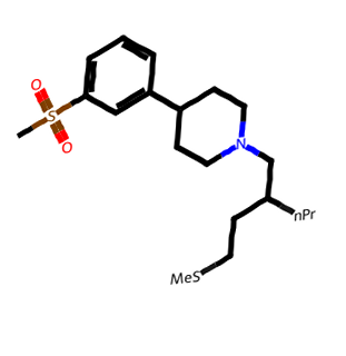 CCCC(CCSC)CN1CCC(c2cccc(S(C)(=O)=O)c2)CC1